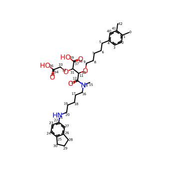 Cc1ccc(CCCCCOC(C(=O)N(C)CCCCCNc2ccc3c(c2)CCC3)C(OCC(=O)O)C(=O)O)cc1C